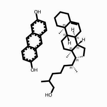 CC(CO)CCC[C@@H](C)[C@H]1CC[C@H]2[C@@H]3CC=C4CCCC[C@]4(C)[C@H]3CC[C@]12C.Oc1ccc2cc3cc(O)ccc3cc2c1